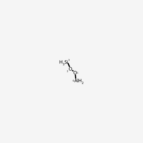 [AlH2][O]O[SiH3]